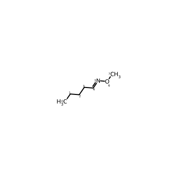 CCCCC=NOC